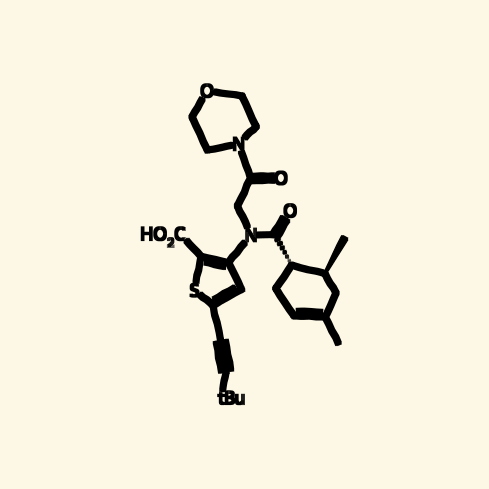 CC1=CC[C@H](C(=O)N(CC(=O)N2CCOCC2)c2cc(C#CC(C)(C)C)sc2C(=O)O)[C@@H](C)C1